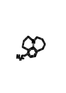 Cc1ccc2c3c1CCCN3CCCC2